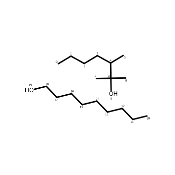 CCCCC(C)C(C)(C)O.CCCCCCCCCO